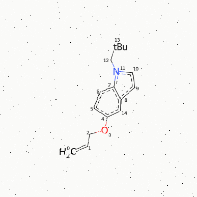 C=CCOc1ccc2c(ccn2CC(C)(C)C)c1